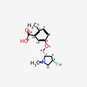 Cc1ccc(OC[C@@H]2C[C@@H](F)CN2C)cc1C(=O)O